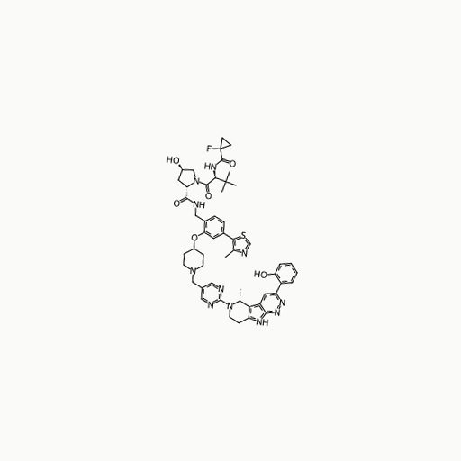 Cc1ncsc1-c1ccc(CNC(=O)[C@@H]2C[C@@H](O)CN2C(=O)[C@@H](NC(=O)C2(F)CC2)C(C)(C)C)c(OC2CCN(Cc3cnc(N4CCc5[nH]c6nnc(-c7ccccc7O)cc6c5[C@H]4C)nc3)CC2)c1